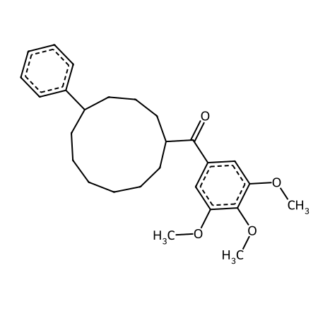 COc1cc(C(=O)C2CCCCCCC(c3ccccc3)CCC2)cc(OC)c1OC